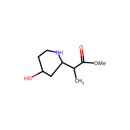 COC(=O)C(C)C1C[C](O)CCN1